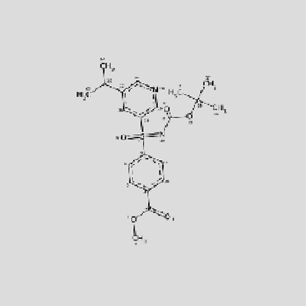 COC(=O)c1ccc(S(=O)(=NC(=O)OC(C)(C)C)c2cncc(C(C)C)c2)cc1